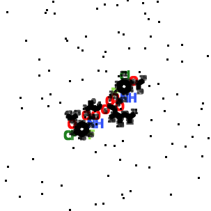 C=C(C)C(COC(=O)C(OC(=O)Nc1cc(OC(C)C)c(Cl)cc1F)C(C)=C(C)CC(C)C)OC(=O)Nc1cc(OC(C)C)c(Cl)cc1F